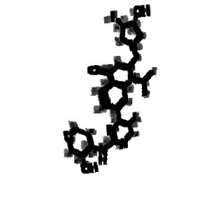 CC(C)n1c(CN2C[C@@H](O)[C@H](F)C2)cc(=O)c2ccc(-c3nc(N[C@@H]4CCOC[C@H]4O)ncc3F)cc21